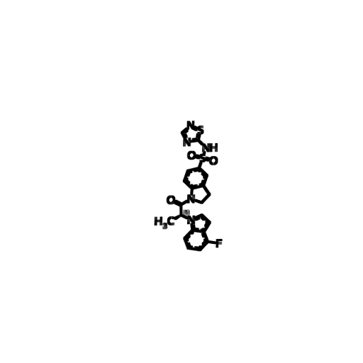 C[C@@H](C(=O)N1CCc2cc(S(=O)(=O)Nc3ncns3)ccc21)n1ccc2c(F)cccc21